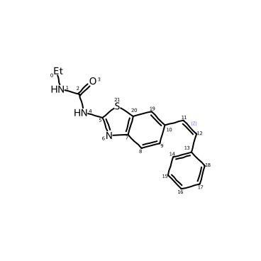 CCNC(=O)Nc1nc2ccc(/C=C\c3ccccc3)cc2s1